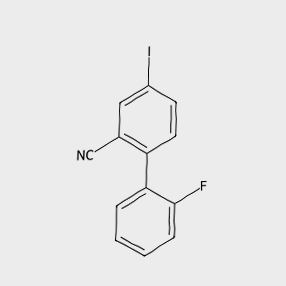 N#Cc1cc(I)ccc1-c1ccccc1F